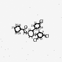 O=C(CN1CCN(c2ccc(Cl)cc2Cl)C(c2ccc(Cl)cc2)C1)c1ccccc1